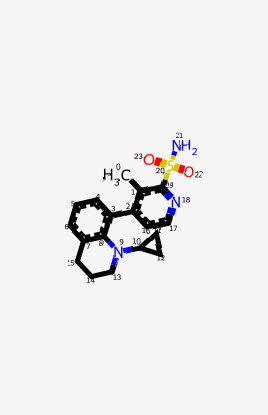 Cc1c(-c2cccc3c2N(C2CC2)CCC3)ccnc1S(N)(=O)=O